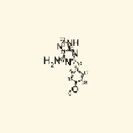 COc1ccc(Cc2nc(N)c3nc[nH]c3n2)cc1